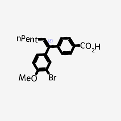 CCCCC/C=C(/c1ccc(C(=O)O)cc1)c1ccc(OC)c(Br)c1